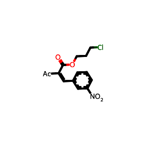 CC(=O)C(=Cc1cccc([N+](=O)[O-])c1)C(=O)OCCCCl